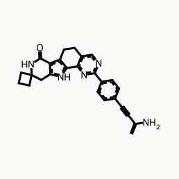 C=C(N)C#Cc1ccc(-c2ncc3c(n2)-c2[nH]c4c(c2CC3)C(=O)NC2(CCC2)C4)cc1